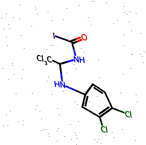 O=C(I)NC(Nc1ccc(Cl)c(Cl)c1)C(Cl)(Cl)Cl